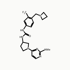 CNc1nccc(N2CCC(NC(=O)Nc3ccc(CN4CCC4)c(C(F)(F)F)c3)C2)n1